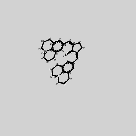 O=C1/C(=C\c2cc3c4c(c2)CCCN4CCC3)CC/C1=C/c1cc2c3c(c1)CCCN3CCC2